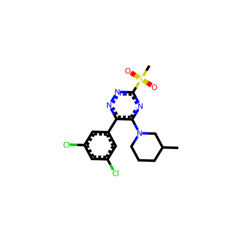 CC1CCCN(c2nc(S(C)(=O)=O)nnc2-c2cc(Cl)cc(Cl)c2)C1